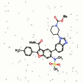 CNC(=O)c1c(-c2ccc(C)cc2)oc2cc(N(C)S(C)(=O)=O)c(-c3ccc4ncn(C5CCCN(C(=O)OC(C)(C)C)C5)c4c3)cc12